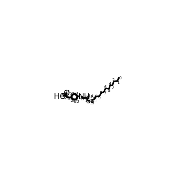 CCCCCCCCCCCC[Si](C)(C)CCCNc1ccc(CC(=O)O)cc1